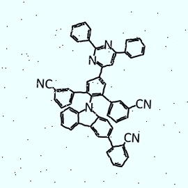 N#Cc1cccc(-c2cc(-c3cc(-c4ccccc4)nc(-c4ccccc4)n3)cc(-c3cccc(C#N)c3)c2-n2c3ccccc3c3cc(-c4ccccc4C#N)ccc32)c1